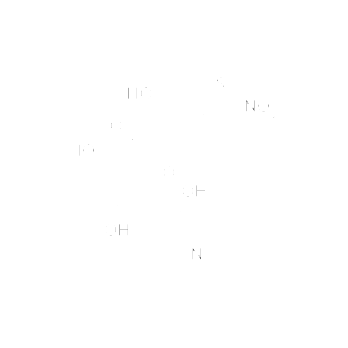 Cc1oc2c(C3CCN(C)CC3O)c(O)cc(O)c2c(=O)c1C(O)c1csc([N+](=O)[O-])c1